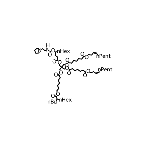 CCCCC/C=C\CCOC(=O)CCCCCC(=O)OCC(COC(=O)CCCCCCOC(=O)C(CCCC)CCCCCC)(COC(=O)CCCCCC(=O)OCC/C=C\CCCCC)COC(=O)CCC(CCCCCC)OC(=O)NCCN1CCCC1